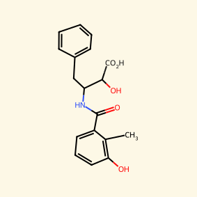 Cc1c(O)cccc1C(=O)NC(Cc1ccccc1)C(O)C(=O)O